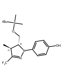 C[C@@H]1C(C(F)(F)F)=NN(c2ccc(O)cc2)[C@H]1CO[Si](C)(C)C(C)(C)C